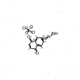 N=[N+]=N.O=C1C=CC(=O)c2ccccc21.O=S(=O)(Cl)Cl